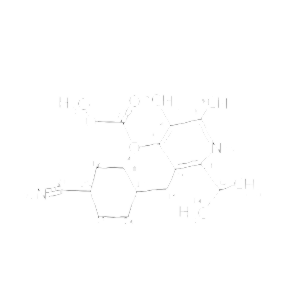 COC(=O)Oc1c(C)c(C)nc(C(C)C)c1CC1CCC(C#N)CC1